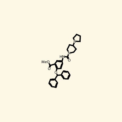 COC(=O)c1cc(NC(=O)N2CCC(N3CCCC3)CC2)ccc1OC(c1ccccc1)c1ccccc1